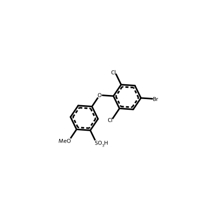 COc1ccc(Oc2c(Cl)cc(Br)cc2Cl)cc1S(=O)(=O)O